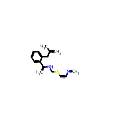 C=N/C=C\SCNC(=C)c1ccccc1CC(=C)C